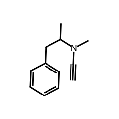 C#CN(C)C(C)Cc1ccccc1